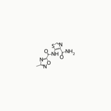 Cc1noc(C(=O)Nc2scnc2C(N)=O)n1